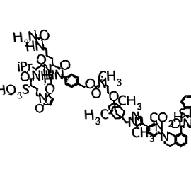 Cc1c(-c2ccc(N3CCc4cccc(C(=O)Nc5nc6ccccc6s5)c4C3)nc2C(=O)O)cnn1CC12CC3(C)CC(C)(C1)C(OCCN(C)C(=O)OCc1ccc(NC(=O)[C@H](CCCNC(N)=O)NC(=O)[C@@H](NC(=O)[C@@H](CCN4C(=O)C=CC4=O)S(=O)(=O)O)C(C)C)cc1)(C3)C2